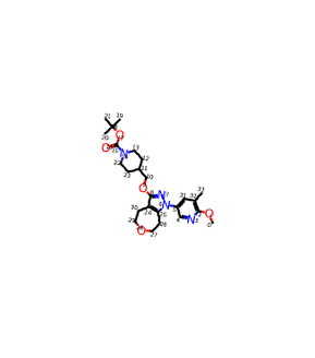 COc1ncc(-n2nc(OCC3CCN(C(=O)OC(C)(C)C)CC3)c3c2CCOCC3)cc1C